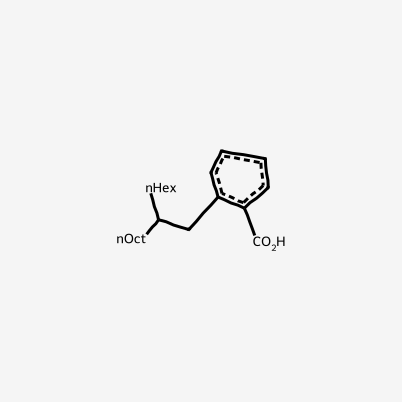 CCCCCCCCC(CCCCCC)Cc1ccccc1C(=O)O